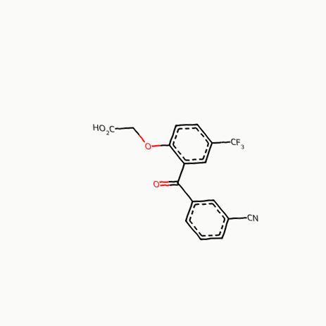 N#Cc1cccc(C(=O)c2cc(C(F)(F)F)ccc2OCC(=O)O)c1